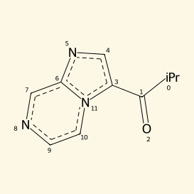 CC(C)C(=O)c1cnc2cnccn12